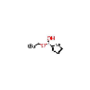 CC(C)(C)COB(O)c1ccc[se]1